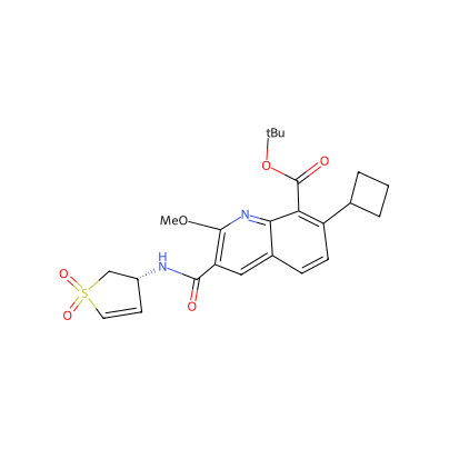 COc1nc2c(C(=O)OC(C)(C)C)c(C3CCC3)ccc2cc1C(=O)N[C@@H]1C=CS(=O)(=O)C1